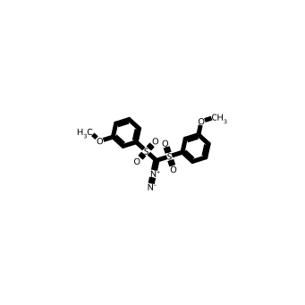 COc1cccc(S(=O)(=O)C(=[N+]=[N-])S(=O)(=O)c2cccc(OC)c2)c1